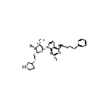 O[C@@H]1[C@H](O)[C@@H](CS[C@H]2CCNC2)O[C@H]1n1cnc2c(NCCCc3ccccc3)nc(Cl)nc21